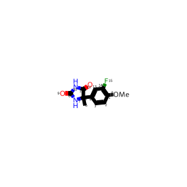 COc1ccc(C2(C)NC(=O)NC2=O)cc1F